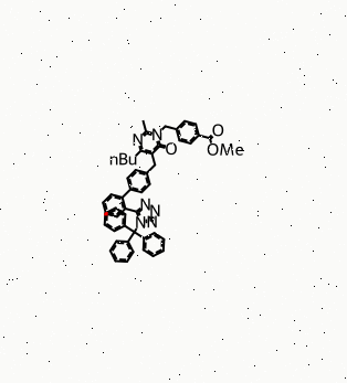 CCCCc1nc(C)n(Cc2ccc(C(=O)OC)cc2)c(=O)c1Cc1ccc(-c2ccccc2-c2nnnn2C(c2ccccc2)(c2ccccc2)c2ccccc2)cc1